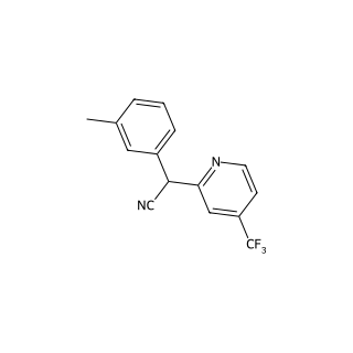 Cc1cccc(C(C#N)c2cc(C(F)(F)F)ccn2)c1